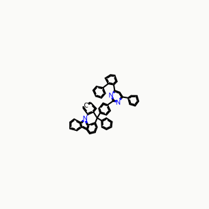 c1ccc(-c2cc(-c3ccccc3-c3ccccc3)nc(-c3ccc(C4(c5ccccc5)c5ccccc5-n5c6ccccc6c6cccc4c65)cc3)n2)cc1